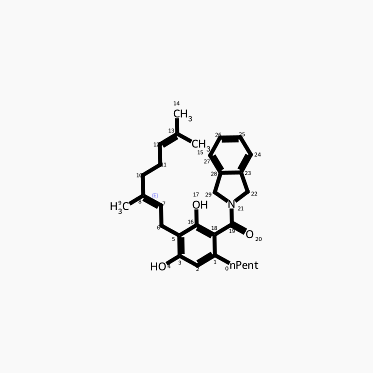 CCCCCc1cc(O)c(C/C=C(\C)CCC=C(C)C)c(O)c1C(=O)N1Cc2ccccc2C1